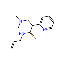 C=CCNC(=S)C(CN(C)C)c1ccccn1